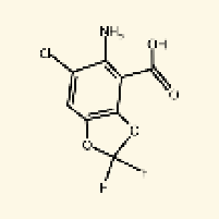 Nc1c(Cl)cc2c(c1C(=O)O)OC(F)(F)O2